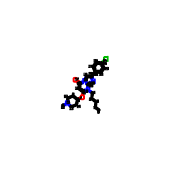 CCCCCn1c(OC2CCN(C)CC2)cc(=O)n2cc(-c3ccc(Cl)cc3)nc12